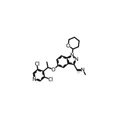 C/N=C/c1nn(C2CCCCO2)c2ccc(OC(C)c3c(Cl)cncc3Cl)cc12